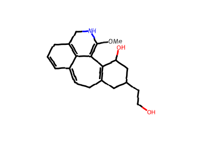 COC1=C2C3=C(CC=CC3=CCC3=C2C(O)CC(CCO)C3)CN1